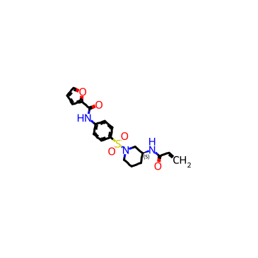 C=CC(=O)N[C@H]1CCCN(S(=O)(=O)c2ccc(NC(=O)c3ccco3)cc2)C1